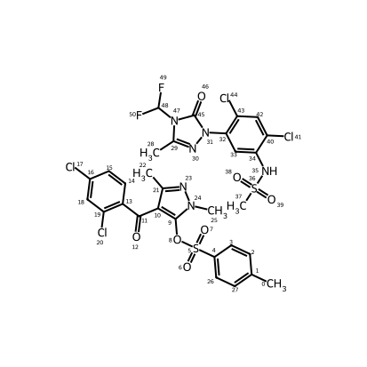 Cc1ccc(S(=O)(=O)Oc2c(C(=O)c3ccc(Cl)cc3Cl)c(C)nn2C)cc1.Cc1nn(-c2cc(NS(C)(=O)=O)c(Cl)cc2Cl)c(=O)n1C(F)F